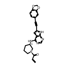 C=CC(=O)N1CCC[C@@H](Nc2ncnc3[nH]c(C#Cc4ccc5c(c4)OCO5)cc23)C1